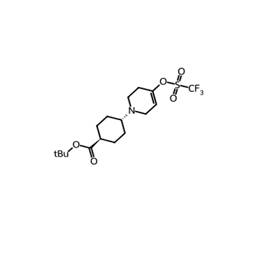 CC(C)(C)OC(=O)[C@H]1CC[C@H](N2CC=C(OS(=O)(=O)C(F)(F)F)CC2)CC1